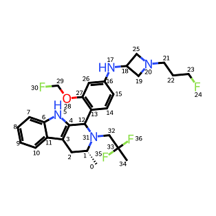 C[C@@H]1Cc2c([nH]c3ccccc23)C(c2ccc(NC3CN(CCCF)C3)cc2OCF)N1CC(C)(F)F